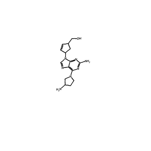 Nc1nc(N2CCC(N)C2)c2ncn(C3C=CC(CO)C3)c2n1